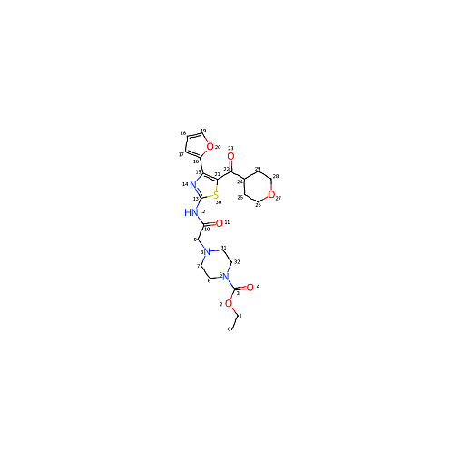 CCOC(=O)N1CCN(CC(=O)Nc2nc(-c3ccco3)c(C(=O)C3CCOCC3)s2)CC1